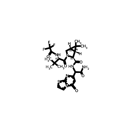 CC(C)(C)[C@H](NC(=O)C(F)(F)F)C(=O)N1C[C@H]2[C@@H]([C@H]1C(=O)NC(C(N)=O)c1cc(=O)n3ccsc3n1)C2(C)C